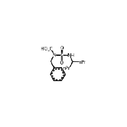 CCCC(CCC)NS(=O)(=O)N(Cc1ccccc1)C(=O)O